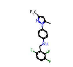 Cc1cc(C(F)(F)F)nn1-c1ccc(NCc2c(F)ccc(F)c2F)cc1